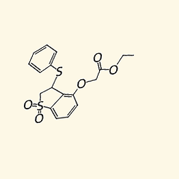 CCOC(=O)COc1cccc2c1C(Sc1ccccc1)CS2(=O)=O